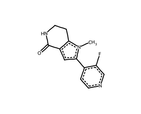 Cn1c(-c2ccncc2F)cc2c1CCNC2=O